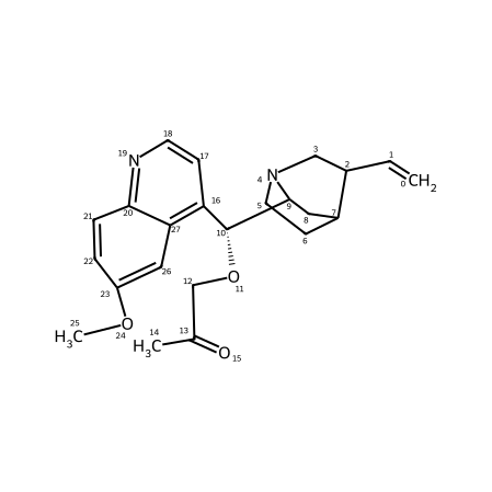 C=CC1CN2CCC1CC2[C@H](OCC(C)=O)c1ccnc2ccc(OC)cc12